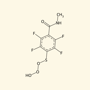 CNC(=O)c1c(F)c(F)c(SOOO)c(F)c1F